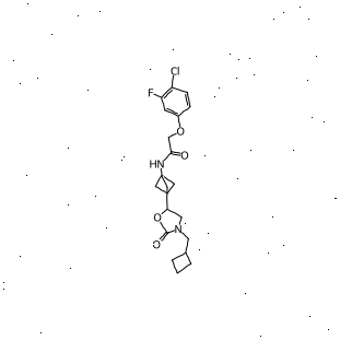 O=C(COc1ccc(Cl)c(F)c1)NC12CC(C3CN(CC4CCC4)C(=O)O3)(C1)C2